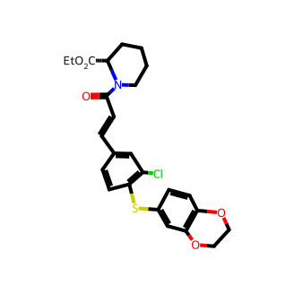 CCOC(=O)C1CCCCN1C(=O)C=Cc1ccc(Sc2ccc3c(c2)OCCO3)c(Cl)c1